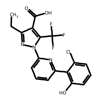 CCc1nn(-c2cccc(-c3c(O)cccc3Cl)n2)c(C(F)(F)F)c1C(=O)O